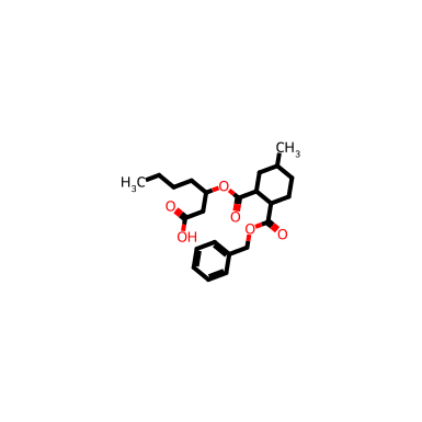 CCCCC(CC(=O)O)OC(=O)C1CC(C)CCC1C(=O)OCc1ccccc1